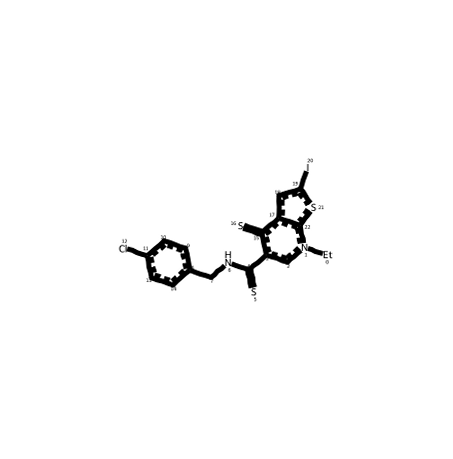 CCn1cc(C(=S)NCc2ccc(Cl)cc2)c(=S)c2cc(I)sc21